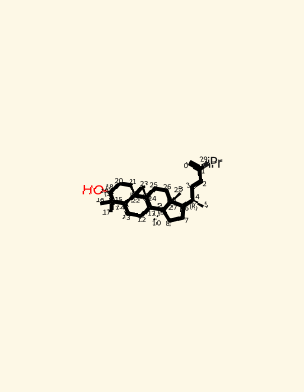 C=C(CC[C@@H](C)C1CC[C@@]2(C)C3CCC4C(C)(C)[C@@H](O)CC[C@]45C[C@@]35CC[C@]12C)C(C)C